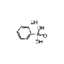 O=P(O)(O)c1ccccc1.[LiH]